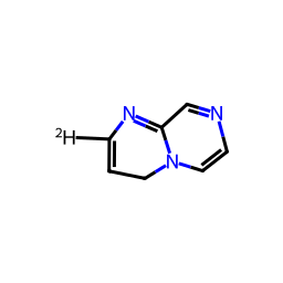 [2H]C1=CCN2C=CN=CC2=N1